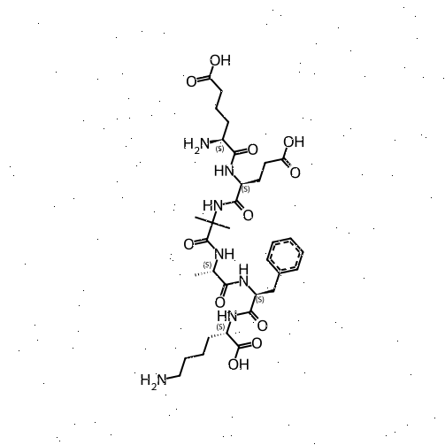 C[C@H](NC(=O)C(C)(C)NC(=O)[C@H](CCC(=O)O)NC(=O)[C@@H](N)CCCC(=O)O)C(=O)N[C@@H](Cc1ccccc1)C(=O)N[C@@H](CCCCN)C(=O)O